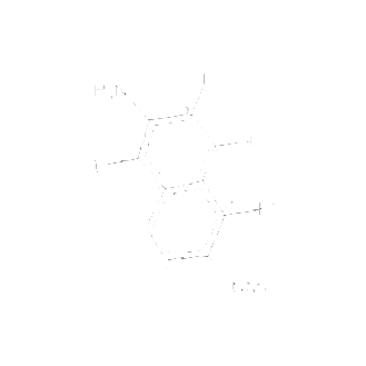 CNc1ccc2c(F)c(N)c(F)c(F)c2c1F